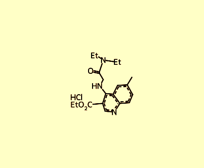 CCOC(=O)c1cnc2ccc(C)cc2c1NCC(=O)N(CC)CC.Cl